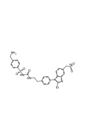 CCc1nc2cc(C[SH](=O)=O)ccc2n1-c1ccc(CCNC(=O)NS(=O)(=O)c2ccc(CN)cc2)cc1